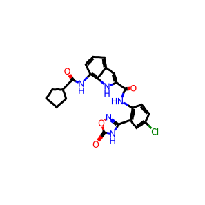 O=C(Nc1ccc(Cl)cc1-c1noc(=O)[nH]1)c1cc2cccc(NC(=O)C3CCCC3)c2[nH]1